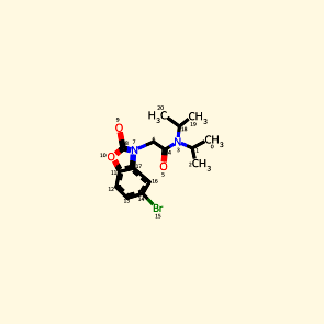 CC(C)N(C(=O)Cn1c(=O)oc2ccc(Br)cc21)C(C)C